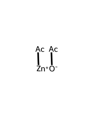 CC(=O)[O-].C[C](=O)[Zn+]